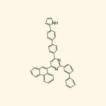 c1ccc(-c2cccc(-c3nc(-c4ccc(-c5ccc(-c6ccc[nH]6)cc5)cc4)cc(-c4cc5ccccc5c5ccccc45)n3)c2)cc1